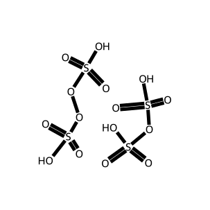 O=S(=O)(O)OOS(=O)(=O)O.O=S(=O)(O)OS(=O)(=O)O